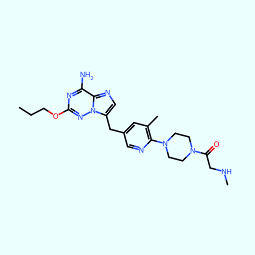 CCCOc1nc(N)c2ncc(Cc3cnc(N4CCN(C(=O)CNC)CC4)c(C)c3)n2n1